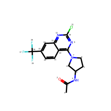 CC(=O)NC1CCN(c2nc(Cl)nc3cc(C(F)(F)F)ccc23)C1